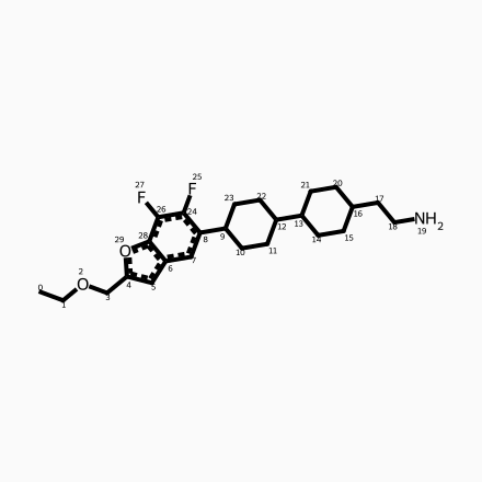 CCOCc1cc2cc(C3CCC(C4CCC(CCN)CC4)CC3)c(F)c(F)c2o1